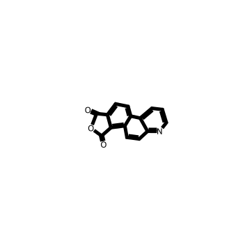 O=C1OC(=O)c2c1ccc1c2ccc2ncccc21